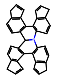 C1=Cc2c(ccc3c2-c2c(ccc4c2C=CC4)N2c4ccc5c(c4-c4c(ccc6c4C=CC6)C32)C=CC5)C1